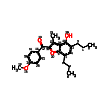 CCCc1cc(CCC)c2oc(C(=O)c3ccc(OC)cc3)c(C)c2c1O